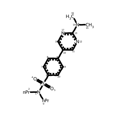 CCCN(CCC)S(=O)(=O)c1ccc(-c2cnc(N(C)C)nc2)cc1